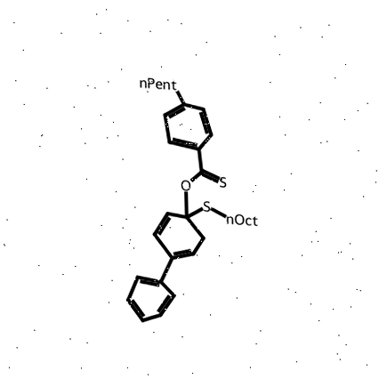 CCCCCCCCSC1(OC(=S)c2ccc(CCCCC)cc2)C=CC(c2ccccc2)=CC1